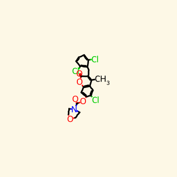 Cc1c(Cc2c(Cl)cccc2Cl)c(=O)oc2cc(OC(=O)N3CCOCC3)c(Cl)cc12